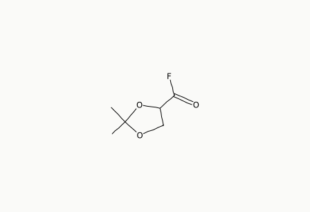 CC1(C)OCC(C(=O)F)O1